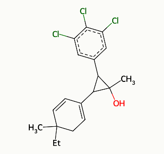 CCC1(C)C=CC(C2C(c3cc(Cl)c(Cl)c(Cl)c3)C2(C)O)=CC1